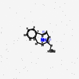 CC(C)(C)C/C1=C/C=C(\N)c2ccccc2CC1